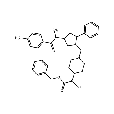 CCCN(C(=O)OCc1ccccc1)C1CCN(CC2CC(N(C)C(=O)c3ccc(C)cc3)CC2c2ccccc2)CC1